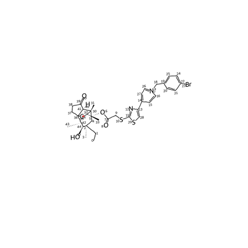 CC[C@]1(C)C[C@@H](OC(=O)CSc2nc(-c3cc[n+](Cc4ccc(Br)cc4)cc3)cs2)[C@]2(C)[C@H](C)CC[C@]3(CCC(=O)[C@H]32)[C@@H](C)[C@@H]1O